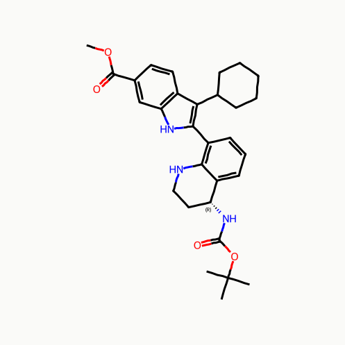 COC(=O)c1ccc2c(C3CCCCC3)c(-c3cccc4c3NCC[C@H]4NC(=O)OC(C)(C)C)[nH]c2c1